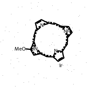 COc1cc2cc3nc(cc4ccc(cc5nc(cc1[nH]2)C=C5)[nH]4)C=C3.[Ir]